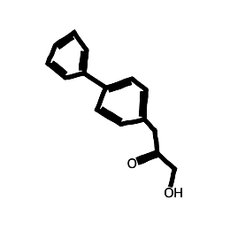 O=C(CO)Cc1ccc(-c2ccccc2)cc1